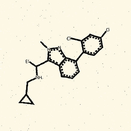 CCC(NCC1CC1)c1c2cccc(-c3ccc(Cl)cc3Cl)c2nn1C